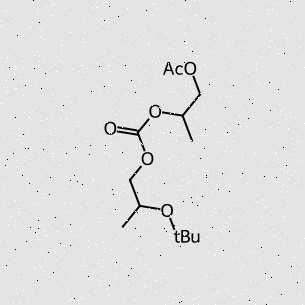 CC(=O)OCC(C)OC(=O)OCC(C)OC(C)(C)C